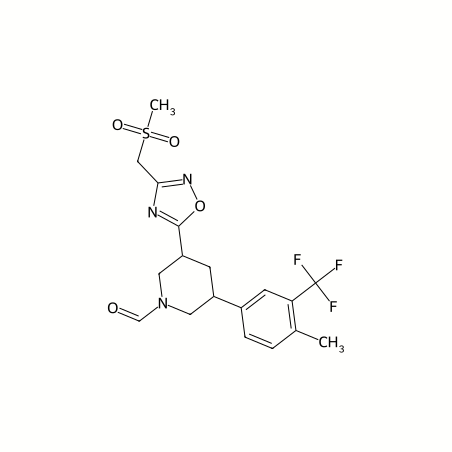 Cc1ccc(C2CC(c3nc(CS(C)(=O)=O)no3)CN(C=O)C2)cc1C(F)(F)F